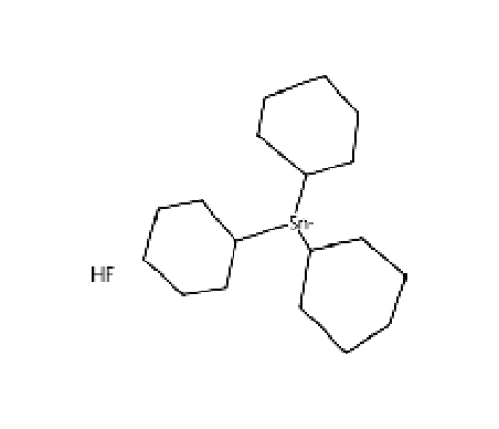 C1CC[CH]([Sn]([CH]2CCCCC2)[CH]2CCCCC2)CC1.F